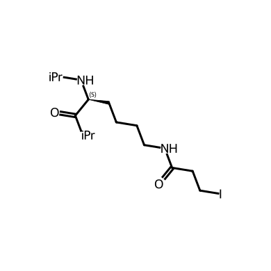 CC(C)N[C@@H](CCCCNC(=O)CCI)C(=O)C(C)C